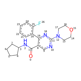 O=C(NC1CCCC1)c1cnc(N2CCOCC2)nc1-c1ccccc1F